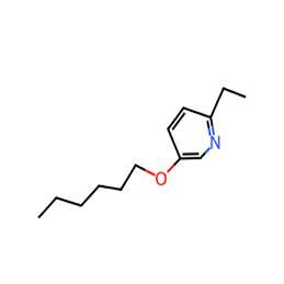 CCCCCCOc1ccc(CC)nc1